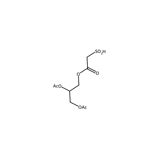 CC(=O)OCC(COC(=O)CS(=O)(=O)O)OC(C)=O